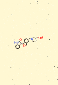 O=C1Nc2ccccc2/C1=C1\OCc2cc(CN3CCCC(CO)C3)ccc21